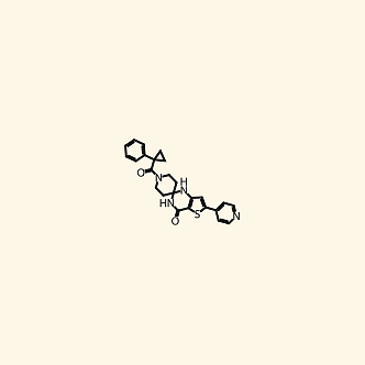 O=C1NC2(CCN(C(=O)C3(c4ccccc4)CC3)CC2)Nc2cc(-c3ccncc3)sc21